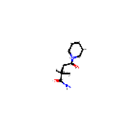 CC(C)([CH]C(=O)N1CCCCC1)C(N)=O